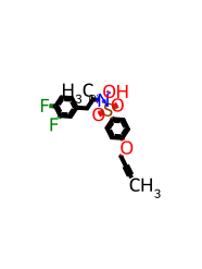 CC#CCOc1ccc(S(=O)(=O)N(O)[C@H](C)Cc2ccc(F)c(F)c2)cc1